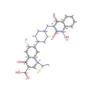 CC1Sc2c(C(=O)O)c(=O)c3cc(F)c(N4CCN(Cn5c(=O)c6ccccc6n(O)c5=O)CC4)cc3n21